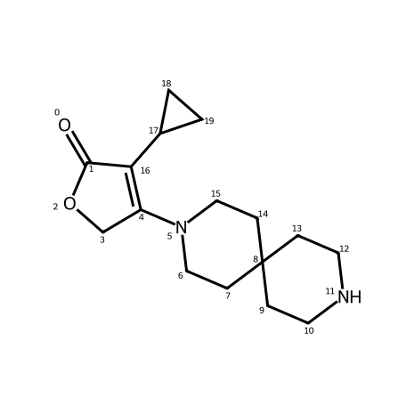 O=C1OCC(N2CCC3(CCNCC3)CC2)=C1C1CC1